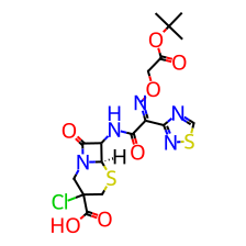 CC(C)(C)OC(=O)CON=C(C(=O)NC1C(=O)N2CC(Cl)(C(=O)O)CS[C@H]12)c1ncsn1